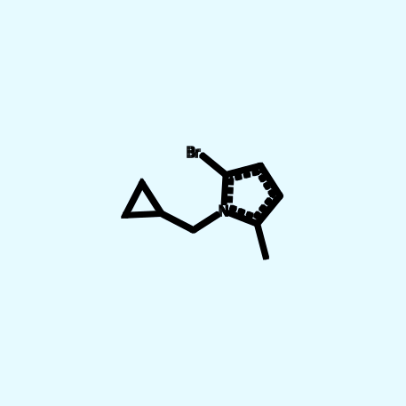 Cc1ccc(Br)n1CC1CC1